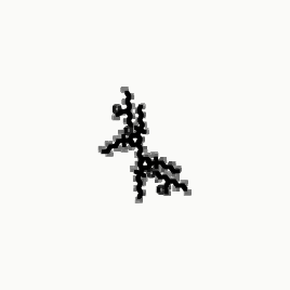 CCCCCC(C)(C)c1cc(CCc2cc(C(C)(C)CCCCC)c(OCCCC(CCCC)C3CO3)c(C(C)(C)CCCCC)c2)cc(C(C)(C)CCCCC)c1OCCCC(CCCC)C1CO1